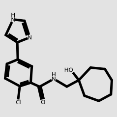 O=C(NCC1(O)CCCCCC1)c1cc(-c2c[nH]cn2)ccc1Cl